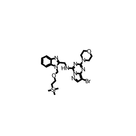 C[Si](C)(C)CCOCn1c(CNc2nc(N3CCOCC3)nc3c(Br)cnn23)nc2ccccc21